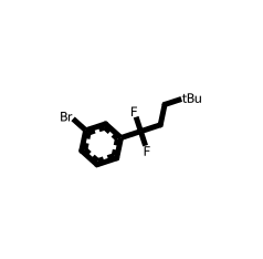 CC(C)(C)CCC(F)(F)c1cccc(Br)c1